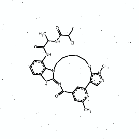 Cc1cc2cc(n1)-c1cnn(C)c1OCCCCCN1/C(=N/C2=O)Nc2cccc(NC(=O)C(C)NC(=O)C(F)Cl)c21